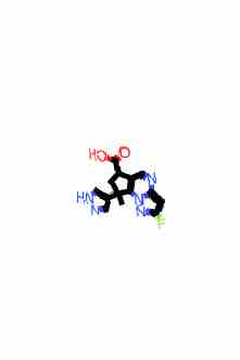 CC1(c2cn[nH]c2)CC(C(=O)O)c2cnc3cc(F)nn3c21